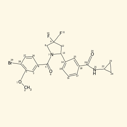 COc1cc(C(=O)N2CC(F)(F)CC2c2cccc(C(=O)NC3CC3)c2)ccc1Br